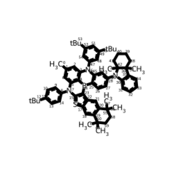 Cc1cc2c3c(c1)N(c1ccc(C(C)(C)C)cc1)c1sc4cc5c(cc4c1B3c1ccc(N3c4ccccc4C4(C)CCCCC34C)cc1N2c1cc(C(C)(C)C)cc(C(C)(C)C)c1)C(C)(C)CCC5(C)C